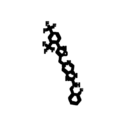 Fc1ccccc1CNc1nc2cnn(Cc3cc(-c4ccc(C(F)(F)F)cc4C(F)(F)F)no3)cc-2n1